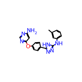 Cc1cccc(Nc2nnc(-c3ccc(Oc4cc(N)ncn4)cc3)[nH]2)c1